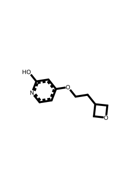 Oc1cc(OCCC2COC2)ccn1